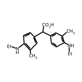 CCNc1ccc(C(C(=O)O)c2ccc(NCC)c(C)c2)cc1C